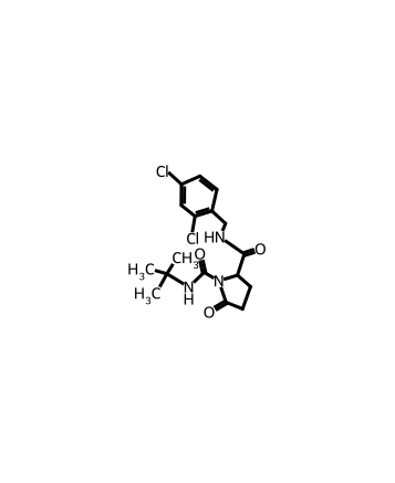 CC(C)(C)NC(=O)N1C(=O)CCC1C(=O)NCc1ccc(Cl)cc1Cl